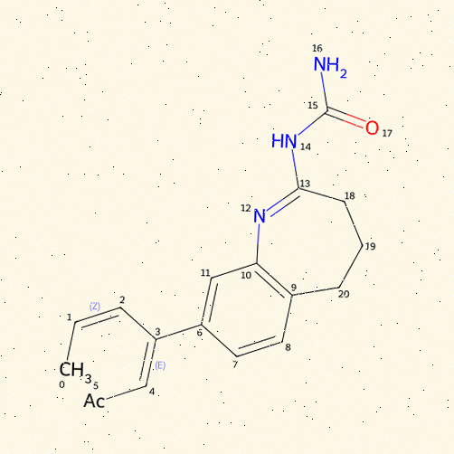 C/C=C\C(=C/C(C)=O)c1ccc2c(c1)N=C(NC(N)=O)CCC2